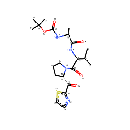 CC(C)[C@H](NC(=O)[C@H](C)NC(=O)OC(C)(C)C)C(=O)N1CCC[C@H]1C(=O)c1nccs1